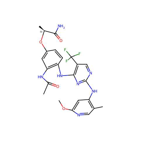 COc1cc(Nc2ncc(C(F)(F)F)c(Nc3ccc(O[C@@H](C)C(N)=O)cc3NC(C)=O)n2)c(C)cn1